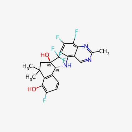 Cc1ncc2c(N[C@@H]3c4ccc(F)c(O)c4C(C)(C)C[C@]3(O)C(F)(F)F)cc(F)c(F)c2n1